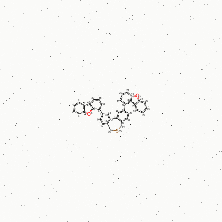 c1ccc2c(c1)oc1c(-c3ccc4c(c3)-c3cc(-c5cccc6oc7ccccc7c56)ccc3CSC4)cccc12